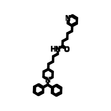 O=C(CCCCc1cccnc1)NCCCCC1CCN(C(c2ccccc2)c2ccccc2)CC1